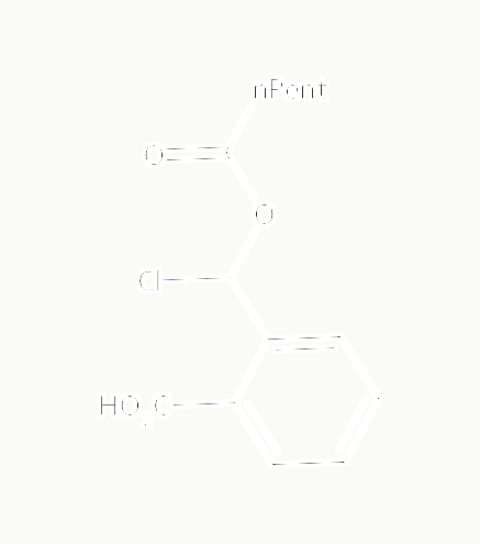 CCCCCC(=O)OC(Cl)c1ccccc1C(=O)O